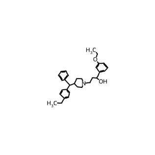 CCOc1cccc(C(O)CCN2CCC(C(c3ccccc3)c3ccc(CC)cc3)CC2)c1